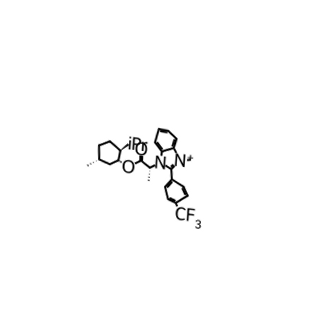 CC(C)[C@@H]1CC[C@@H](C)C[C@H]1OC(=O)[C@@H](C)n1c(-c2ccc(C(F)(F)F)cc2)[n+](C)c2ccccc21